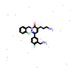 NCCCc1cc(-c2ccc(F)c(CN)c2)nn(Cc2ccccc2Cl)c1=O